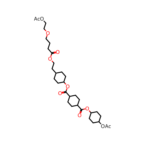 CC(=O)OCCOCCCC(=O)OCCC1CCC(OC(=O)C2CCC(C(=O)OC3CCC(OC(C)=O)CC3)CC2)CC1